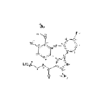 CCOC(=O)CN(C(=O)c1cn(-c2ccc(F)cc2F)nc1C)c1ccc(OCC(C)(C)C)c(C#N)c1